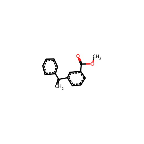 C=C(c1ccccc1)c1cccc(C(=O)OC)c1